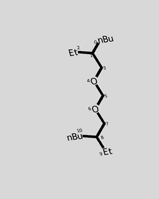 CCCCC(CC)COCOCC(CC)CCCC